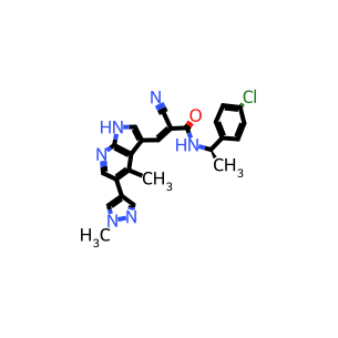 Cc1c(-c2cnn(C)c2)cnc2[nH]cc(/C=C(\C#N)C(=O)N[C@H](C)c3ccc(Cl)cc3)c12